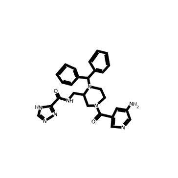 Nc1cncc(C(=O)N2CCN(C(c3ccccc3)c3ccccc3)C(CNC(=O)c3nnc[nH]3)C2)c1